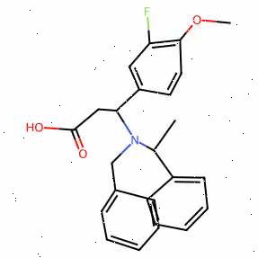 COc1ccc(C(CC(=O)O)N(Cc2ccccc2)C(C)c2ccccc2)cc1F